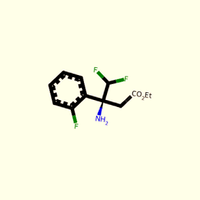 CCOC(=O)C[C@](N)(c1ccccc1F)C(F)F